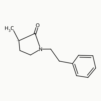 C[C]1CCN(CCc2ccccc2)C1=O